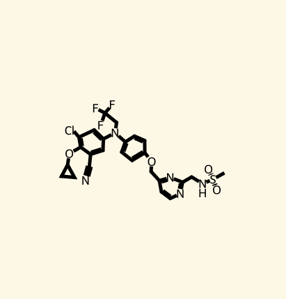 CS(=O)(=O)NCc1nccc(COc2ccc(N(CC(F)(F)F)c3cc(Cl)c(OC4CC4)c(C#N)c3)cc2)n1